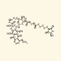 COc1cccc2c1C(=O)c1c(O)c3c(c(O)c1C2=O)C[C@@](O)(C(=O)CO)C[C@@H]3O[C@H]1C[C@H](NC(=O)OCOC(=O)CCCCCN2C(=O)CC(S)C2=O)[C@H](O)[C@H](C)O1